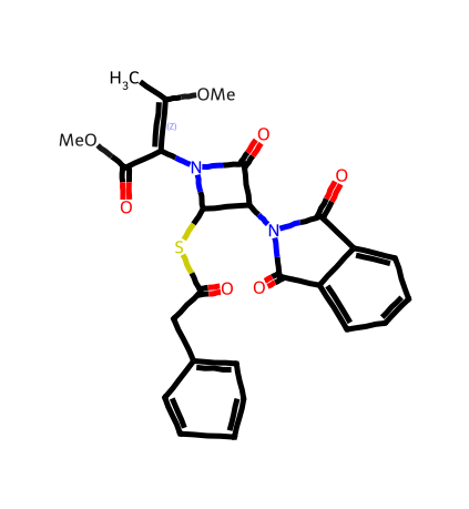 COC(=O)/C(=C(\C)OC)N1C(=O)C(N2C(=O)c3ccccc3C2=O)C1SC(=O)Cc1ccccc1